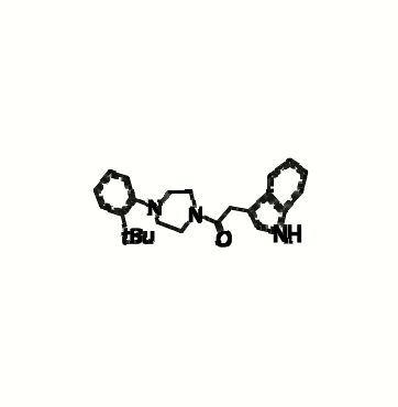 CC(C)(C)c1ccccc1N1CCN(C(=O)Cc2c[nH]c3ccccc23)CC1